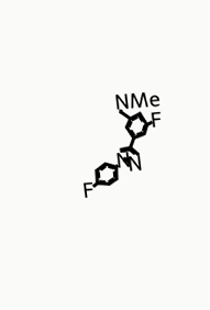 CNCc1cc(F)cc(-c2cnn(-c3ccc(F)cc3)c2)c1